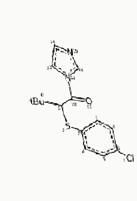 CC(C)(C)C(Sc1ccc(Cl)cc1)C(=O)n1ccnc1